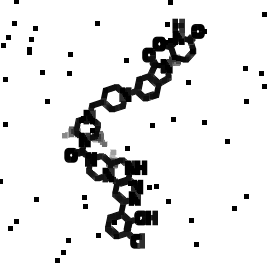 C[C@@H]1CN(CC2CCN(c3ccc4c(c3)C(=O)N([C@H]3CCC(=O)NC3=O)C4)CC2)C[C@H](C)N1C(=O)N1CCN2c3cc(-c4cccc(Cl)c4O)nnc3NC[C@]2(C)C1